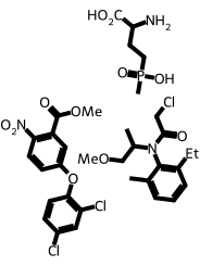 CCc1cccc(C)c1N(C(=O)CCl)C(C)COC.COC(=O)c1cc(Oc2ccc(Cl)cc2Cl)ccc1[N+](=O)[O-].CP(=O)(O)CCC(N)C(=O)O